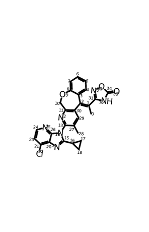 CC(=C1c2ccccc2OCc2nc(-n3c(C4CC4)nc4c(Cl)ccnc43)c(C)cc21)c1noc(=O)[nH]1